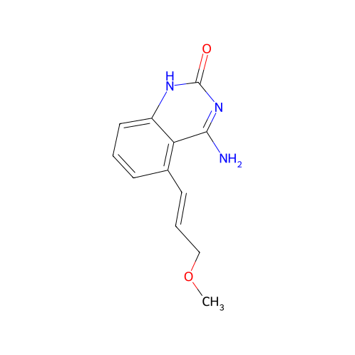 COCC=Cc1cccc2[nH]c(=O)nc(N)c12